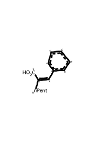 CCCCCC(=Cc1ccccc1)C(=O)O